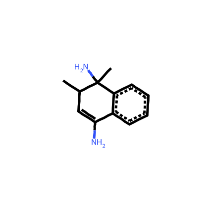 CC1C=C(N)c2ccccc2C1(C)N